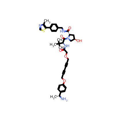 Cc1ncsc1-c1ccc(CNC(=O)[C@@H]2C[C@@H](O)CN2C(=O)[C@@H](NC(=O)COCC#CC#CCOc2ccc([C@@H](C)N)cc2)C(C)(C)C)cc1